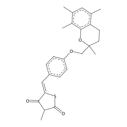 Cc1cc(C)c2c(c1C)OC(C)(COc1ccc(/C=C3\SC(=O)C(C)C3=O)cc1)CC2